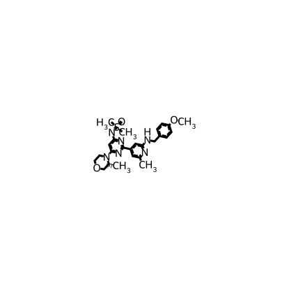 COc1ccc(CNc2cc(-c3nc(N=S(C)(C)=O)cc(N4CCOC[C@H]4C)n3)cc(C)n2)cc1